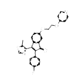 Cc1scnc1C1=C(c2ccc(F)cc2)C(=O)c2cc(OCCOc3ccncc3)ccc21